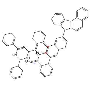 C/C=C(\C1CC=C2C=CCCC2=C1C1N=C(C2=CCCC=C2)NC(C2C=CC=CC2)N1)C1C=CC=CC1C1=CC2CC=C(C3C4=C(C=CCC4)c4c3ccc3ccccc43)C=C2C=C1C